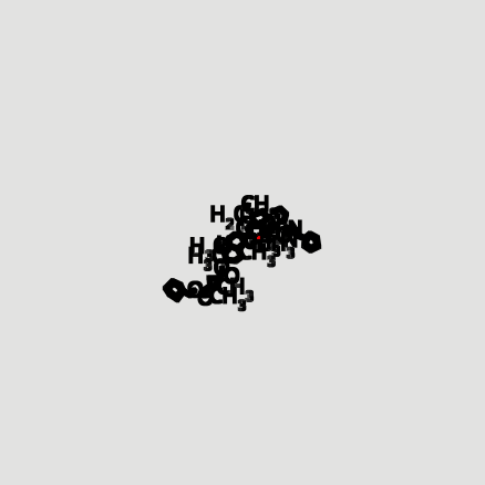 C=C(C)[C@@H]1CC[C@]2(C(=O)N3CCC[C@@H]3c3nc(-c4ccccc4)no3)CC[C@@](C)([C@]3(C)CC[C@H]4C(C)(C)[C@@H](OC(=O)C5CC(C(=O)OCc6ccccc6)C5(C)C)CC[C@]4(C)[C@H]3CCC)C[C@@H]12